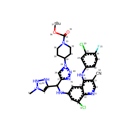 CN1C=C(C(Nc2cc(Cl)c3ncc(C#N)c(Nc4ccc(F)c(Cl)c4)c3c2)c2cn(C3CCN(C(=O)OC(C)(C)C)CC3)nn2)NN1